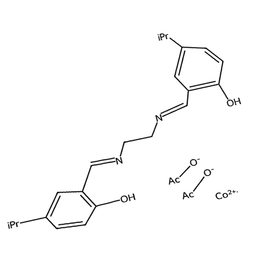 CC(=O)[O-].CC(=O)[O-].CC(C)c1ccc(O)c(C=NCCN=Cc2cc(C(C)C)ccc2O)c1.[Co+2]